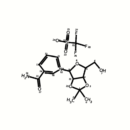 CC1(C)OC2C(CO)OC([n+]3cccc(C(N)=O)c3)C2O1.O=S(=O)([O-])C(F)(F)F